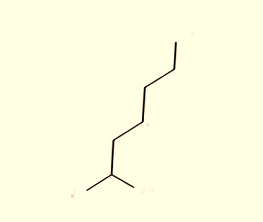 [CH2]CCC(CCCCCCCCCC)CCCCCCCCCCCCCC